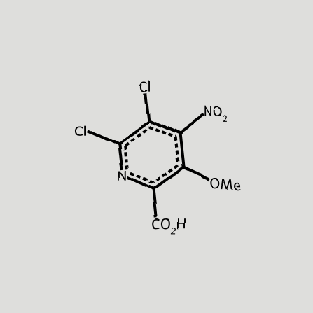 COc1c(C(=O)O)nc(Cl)c(Cl)c1[N+](=O)[O-]